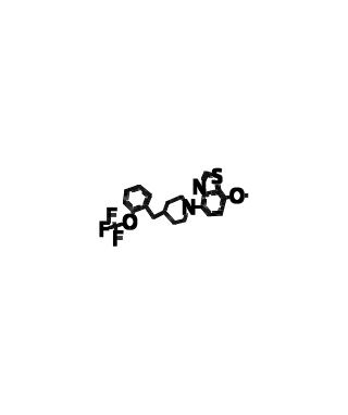 [O]c1ccc(N2CCC(Cc3ccccc3OC(F)(F)F)CC2)c2ncsc12